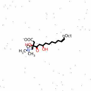 CCCCCCCC/C=C\CCCCCC(O)CC(=O)C(O)(CC(=O)[O-])C[N+](C)(C)C